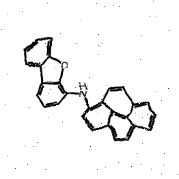 c1cc2ccc3ccc(Nc4cccc5c4oc4ccccc45)c4ccc(c1)c2c34